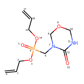 C=CCOP(=O)(CN1COCNC1=O)OCC=C